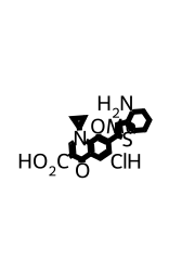 COc1c(-c2cc3c(s2)CCCC3N)ccc2c(=O)c(C(=O)O)cn(C3CC3)c12.Cl